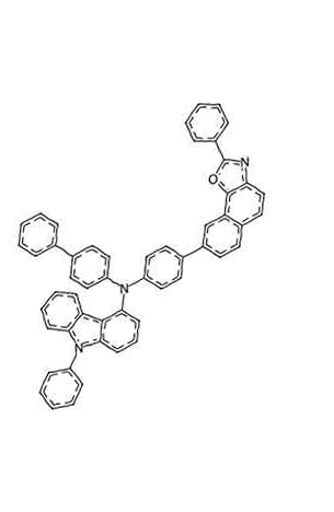 c1ccc(-c2ccc(N(c3ccc(-c4ccc5ccc6nc(-c7ccccc7)oc6c5c4)cc3)c3cccc4c3c3ccccc3n4-c3ccccc3)cc2)cc1